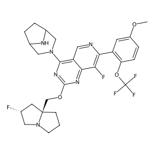 COc1ccc(OC(F)(F)F)c(-c2ncc3c(N4CC5CCC(C4)N5)nc(OC[C@@]45CCCN4C[C@H](F)C5)nc3c2F)c1